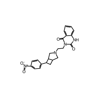 O=c1[nH]c2ccccc2c(=O)n1CCN1CC2CC(c3ccc([N+](=O)[O-])cc3)C2C1